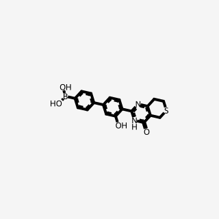 O=c1[nH]c(-c2ccc(-c3ccc(B(O)O)cc3)cc2O)nc2c1CSCC2